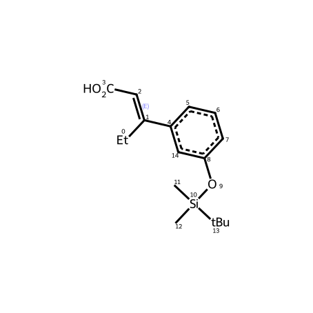 CC/C(=C\C(=O)O)c1cccc(O[Si](C)(C)C(C)(C)C)c1